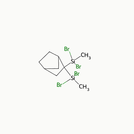 C[Si](Br)(Br)C1([Si](C)(Br)Br)CC2CCC1C2